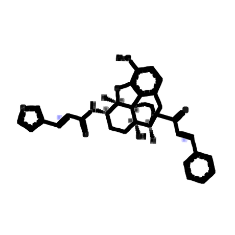 COc1ccc2c3c1O[C@@H]1[C@@H](NC(=O)/C=C/c4ccoc4)CC[C@]4(O)[C@H](C2)N(C(=O)/C=C/c2ccccc2)CC[C@@]314